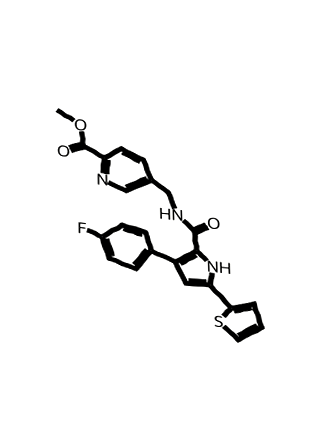 COC(=O)c1ccc(CNC(=O)c2[nH]c(-c3cccs3)cc2-c2ccc(F)cc2)cn1